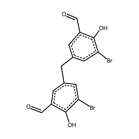 O=Cc1cc(Cc2cc(Br)c(O)c(C=O)c2)cc(Br)c1O